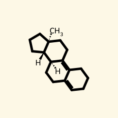 C[C@@]12CCC[C@H]1[C@@H]1CCC3=CCCCC3=C1CC2